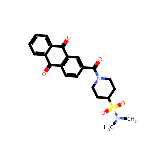 CN(C)S(=O)(=O)C1CCN(C(=O)c2ccc3c(c2)C(=O)c2ccccc2C3=O)CC1